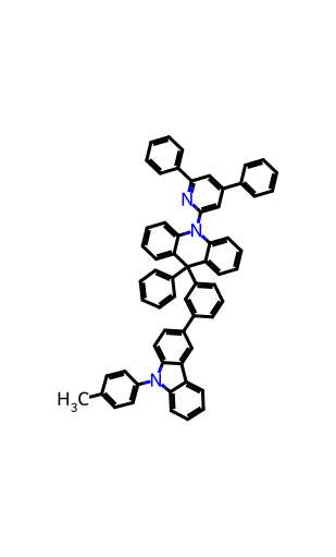 Cc1ccc(-n2c3ccccc3c3cc(-c4cccc(C5(c6ccccc6)c6ccccc6N(c6cc(-c7ccccc7)cc(-c7ccccc7)n6)c6ccccc65)c4)ccc32)cc1